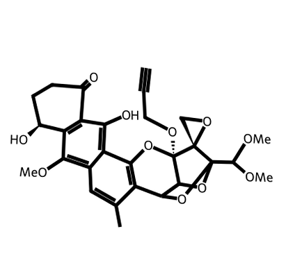 C#CCO[C@@]12Oc3c(c(C)cc4c(OC)c5c(c(O)c34)C(=O)CC[C@@H]5O)C3OC(C(OC)OC)(OC31)[C@]21CO1